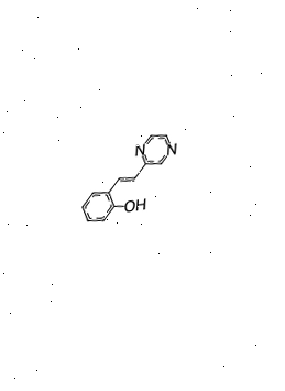 Oc1ccccc1/C=C/c1cnccn1